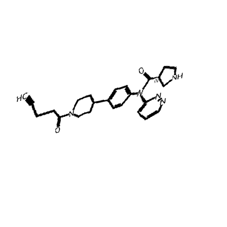 C#CCCC(=O)N1CCC(c2ccc(N(C(=O)[C@H]3CCNC3)c3cccnn3)cc2)CC1